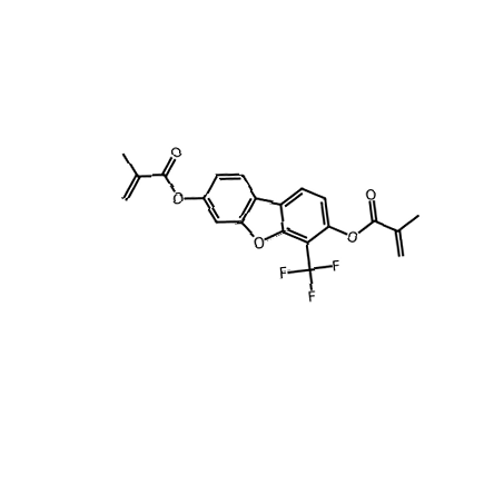 C=C(C)C(=O)Oc1ccc2c(c1)oc1c(C(F)(F)F)c(OC(=O)C(=C)C)ccc12